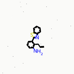 C=CCc1c(N)cccc1-c1nc2ccccc2s1